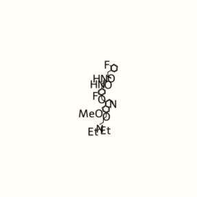 CCN(CC)CCCOc1cc2nccc(Oc3ccc(NC(=O)NC(=O)Cc4ccccc4F)cc3F)c2cc1OC